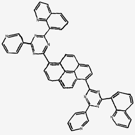 c1cncc(-c2nc(-c3ccc4ccc5c(-c6nc(-c7cccnc7)nc(-c7cccc8cccnc78)n6)ccc6ccc3c4c65)nc(-c3cccc4cccnc34)n2)c1